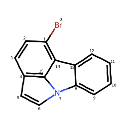 Brc1ccc2ccn3c4ccccc4c1c23